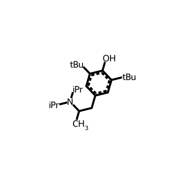 CC(C)N(C(C)C)C(C)Cc1cc(C(C)(C)C)c(O)c(C(C)(C)C)c1